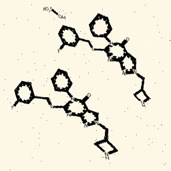 O=S(=O)(O)O.O=c1c2cn(CC3CNC3)nc2nc(SCc2cccc(F)c2)n1-c1ccccc1.O=c1c2cn(CC3CNC3)nc2nc(SCc2cccc(F)c2)n1-c1ccccc1